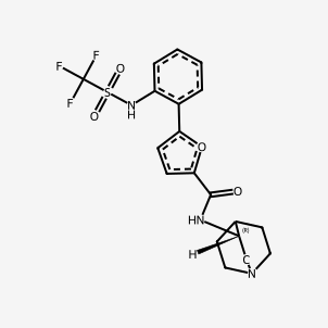 O=C(N[C@H]1CN2CCC1CC2)c1ccc(-c2ccccc2NS(=O)(=O)C(F)(F)F)o1